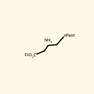 CCCCCCCCC(=O)OCC.N